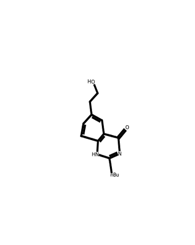 CCCCc1nc(=O)c2cc(CCO)ccc2[nH]1